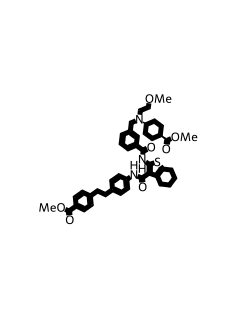 COCCN(Cc1cccc(C(=O)Nc2sc3c(c2C(=O)Nc2ccc(CCc4ccc(C(=O)OC)cc4)cc2)CCCC3)c1)[C@H]1CC[C@H](C(=O)OC)CC1